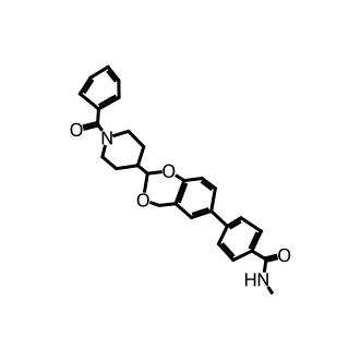 CNC(=O)c1ccc(-c2ccc3c(c2)COC(C2CCN(C(=O)c4ccccc4)CC2)O3)cc1